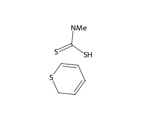 C1=CCSC=C1.CNC(=S)S